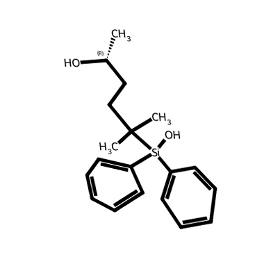 C[C@@H](O)CCC(C)(C)[Si](O)(c1ccccc1)c1ccccc1